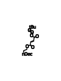 CCCCCCCCCCCCOC(=O)C=CC(=O)OOOC(C)(C)C